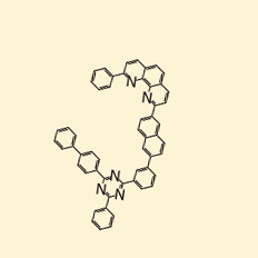 c1ccc(-c2ccc(-c3nc(-c4ccccc4)nc(-c4cccc(-c5ccc6cc(-c7ccc8ccc9ccc(-c%10ccccc%10)nc9c8n7)ccc6c5)c4)n3)cc2)cc1